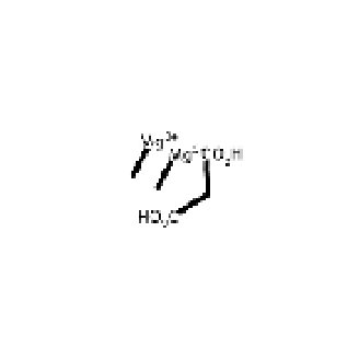 O=C(O)CC(=O)O.[CH3][Mg+2].[CH3][Mg+2]